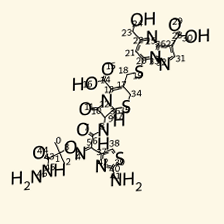 CC(C)(O/N=C(\C(=O)NC1C(=O)N2C(C(=O)O)=C(CSc3cc(CO)nc4c(C(=O)O)cnn34)CS[C@H]12)c1csc(N)n1)C(=O)NN